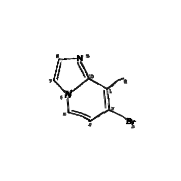 Cc1c(Br)ccn2ccnc12